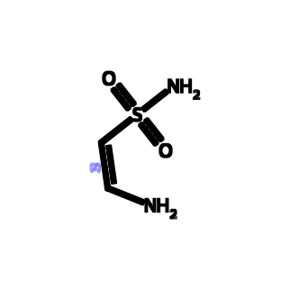 N/C=C\S(N)(=O)=O